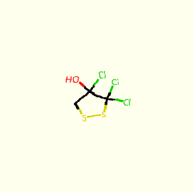 OC1(Cl)CSSC1(Cl)Cl